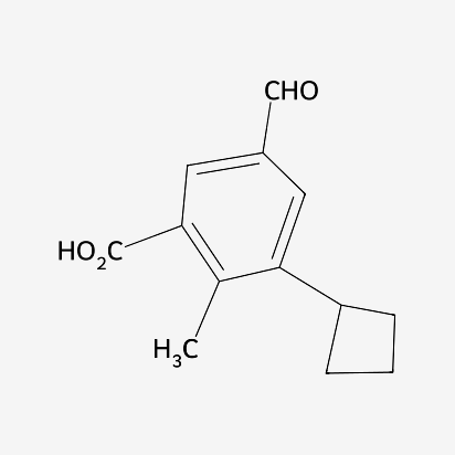 Cc1c(C(=O)O)cc(C=O)cc1C1CCC1